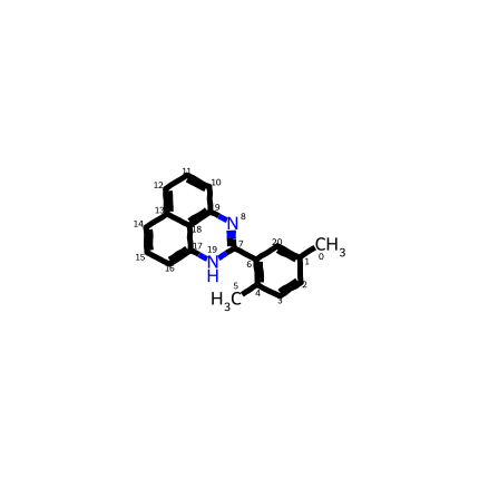 Cc1ccc(C)c(C2=Nc3cccc4cccc(c34)N2)c1